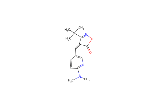 CN(C)c1ccc(C=C2C(=O)ON=C2C(C)(C)C)cn1